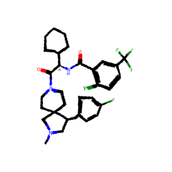 CN1CC(c2ccc(F)cc2)C2(CCN(C(=O)[C@H](NC(=O)c3cc(C(F)(F)F)ccc3F)C3CCCCC3)CC2)C1